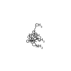 CCCCCOC(=O)NC(C(=O)N1CCCC1C(=O)NCC1CCC(N)CC1)C(C)(C)SC(C)C